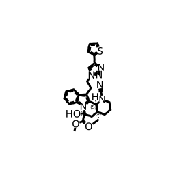 CC[C@@]12CCCN(C#N)[C@@H]1c1c(CCn3cc(-c4cccs4)nn3)c3ccccc3n1[C@@](O)(C(=O)OC)C2